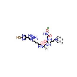 CC(C)[C@H](NC(=O)CCCCCN(N)/C=C(\N)c1cnc(S)nc1)C(=O)N[C@@H](CCCCN(C)C)C(=O)NCC(=O)NCOF